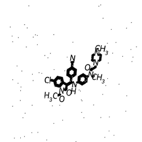 CC(=O)N1C(=O)/C(=C(\Nc2ccc(N(C)C(=O)CN3CCN(C)CC3)cc2)c2ccc(C#N)cc2)c2ccc(Cl)cc21